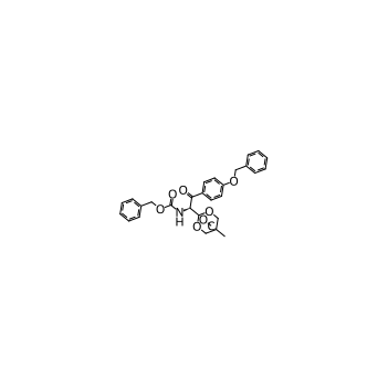 CC12COC([C@@H](NC(=O)OCc3ccccc3)C(=O)c3ccc(OCc4ccccc4)cc3)(OC1)OC2